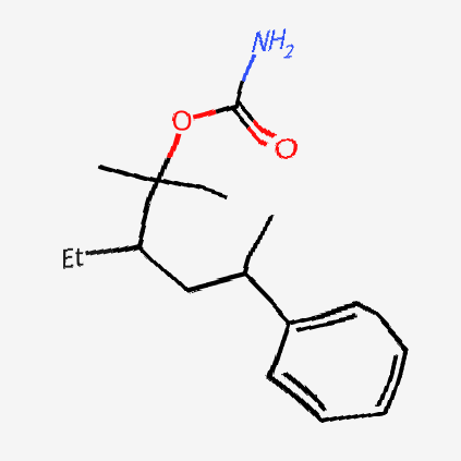 CCC(CC(C)c1ccccc1)C(C)(C)OC(N)=O